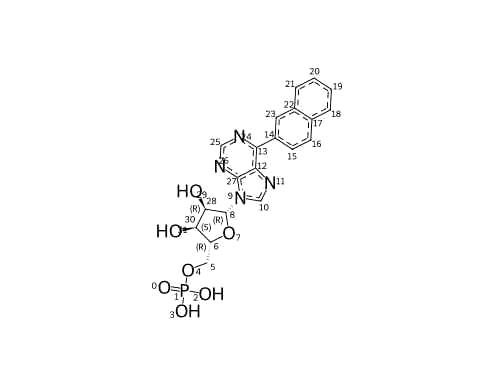 O=P(O)(O)OC[C@H]1O[C@@H](n2cnc3c(-c4ccc5ccccc5c4)ncnc32)[C@H](O)[C@@H]1O